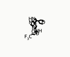 O=S(=O)(CCC(F)(F)F)Nc1cn2c(cnc3[nH]cc(C4CCOCC4)c32)n1